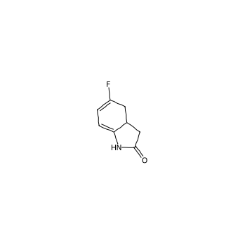 O=C1CC2CC(F)=CC=C2N1